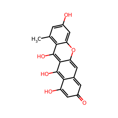 Cc1cc(O)cc2oc3cc4cc(=O)cc(O)c4c(O)c3c(O)c12